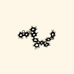 C1=C(c2ccc3c4ccccc4n(-c4ccc5c(c4)oc4ccccc45)c3c2)CC2C(=C1)C1(CCCCC1)c1cc3c4ccccc4n(-c4ccc5c(c4)oc4ccccc45)c3cc12